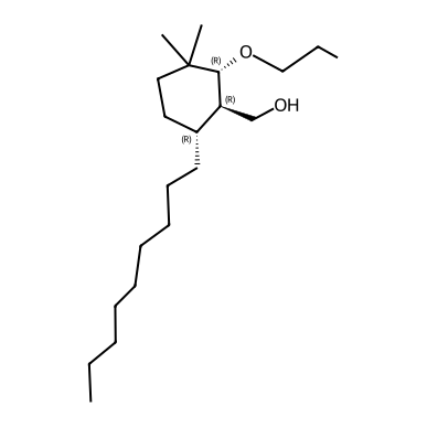 CCCCCCCCC[C@@H]1CCC(C)(C)[C@H](OCCC)[C@H]1CO